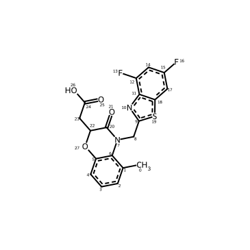 Cc1cccc2c1N(Cc1nc3c(F)cc(F)cc3s1)C(=O)C(CC(=O)O)O2